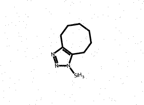 [SiH3]n1nnc2c1CCCCCC2